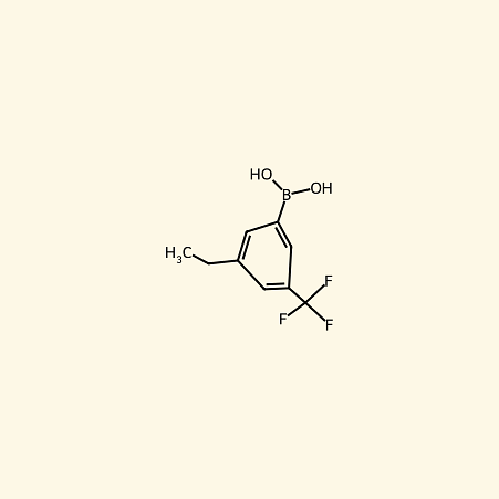 CCc1cc(B(O)O)cc(C(F)(F)F)c1